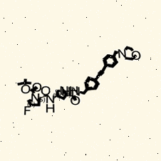 CC(C)(C)OC(=O)N1C[C@@H](F)C[C@H]1C(=O)N[C@H]1CN[C@@H](C(=O)NCc2ccc(C#Cc3ccc(CN4CCOCC4)cc3)cc2)C1